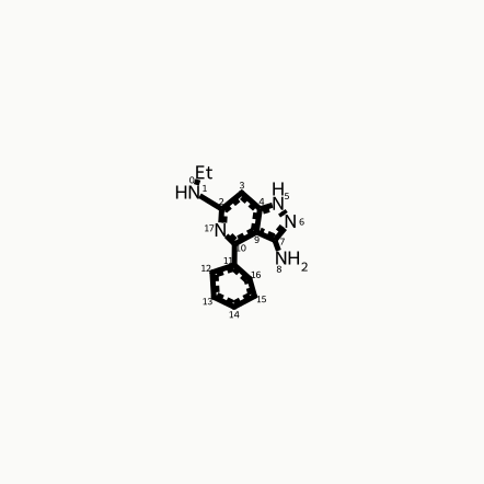 CCNc1cc2[nH]nc(N)c2c(-c2ccccc2)n1